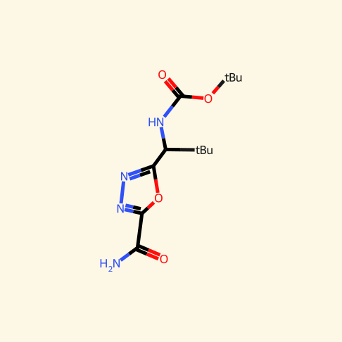 CC(C)(C)OC(=O)NC(c1nnc(C(N)=O)o1)C(C)(C)C